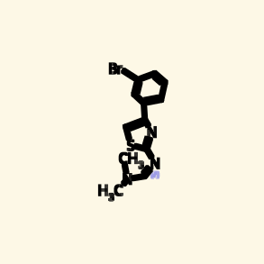 CN(C)/C=N\c1nc(-c2cccc(Br)c2)cs1